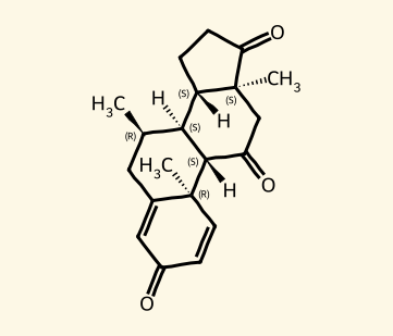 C[C@@H]1CC2=CC(=O)C=C[C@]2(C)[C@H]2C(=O)C[C@]3(C)C(=O)CC[C@H]3[C@H]12